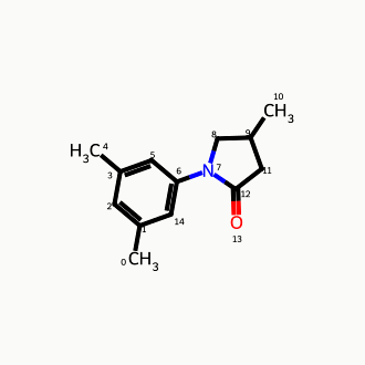 Cc1cc(C)cc(N2CC(C)CC2=O)c1